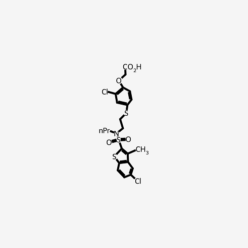 CCCN(CCSc1ccc(OCC(=O)O)c(Cl)c1)S(=O)(=O)c1sc2ccc(Cl)cc2c1C